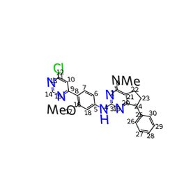 CNc1nc(Nc2ccc(-c3cc(Cl)ncn3)c(OC)c2)nc2c1CCC2c1ccccc1